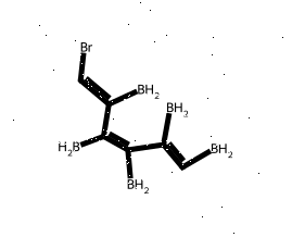 B/C=C(B)/C(B)=C(B)\C(B)=C\Br